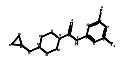 O=C(Nc1cc(F)cc(F)c1)N1CCN(CC2CC2)CC1